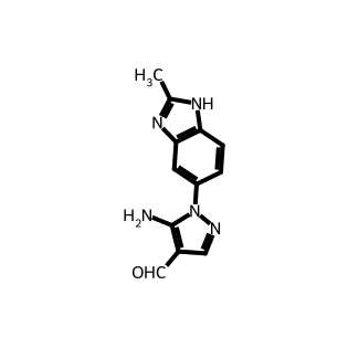 Cc1nc2cc(-n3ncc(C=O)c3N)ccc2[nH]1